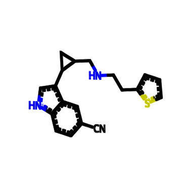 N#Cc1ccc2[nH]cc(C3CC3CNCCc3cccs3)c2c1